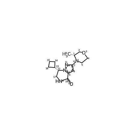 C[C@@H]1COCCN1c1cc2n(n1)[C@@H](C1CCC1)CNC2=O